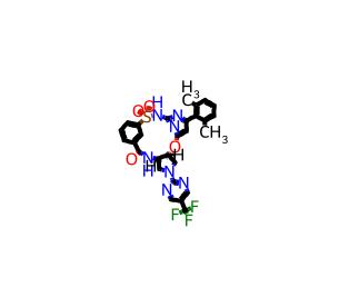 Cc1cccc(C)c1-c1cc2nc(n1)NS(=O)(=O)c1cccc(c1)C(=O)N[C@@H]1CN(c3ncc(C(F)(F)F)cn3)C[C@H]1O2